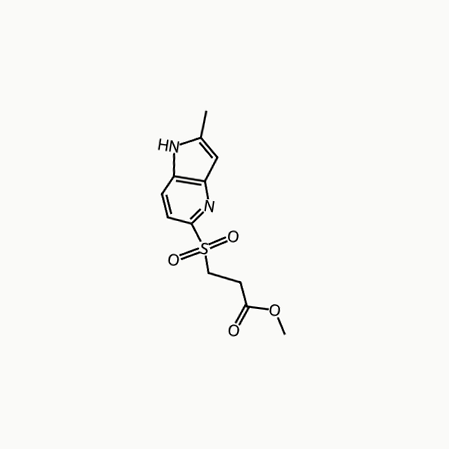 COC(=O)CCS(=O)(=O)c1ccc2[nH]c(C)cc2n1